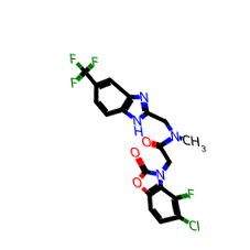 CN(Cc1nc2cc(C(F)(F)F)ccc2[nH]1)C(=O)Cn1c(=O)oc2ccc(Cl)c(F)c21